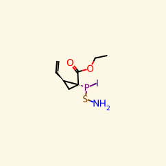 C=C[C@@H]1C[C@@]1(C(=O)OCC)P(I)SN